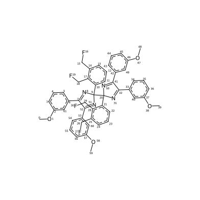 COc1cccc(C2=NC(c3cccc(CF)c3CF)(C3(c4cccc(CF)c4CF)N=C(c4cccc(OC)c4)C(c4cccc(OC)c4)=N3)N=C2c2cccc(OC)c2)c1